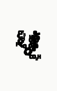 CS(=O)(=O)NS(=O)(=O)C(F)(F)S(=O)(=O)Oc1cc(C(=O)O)ccc1OCC(F)(F)CNCC(F)(F)F